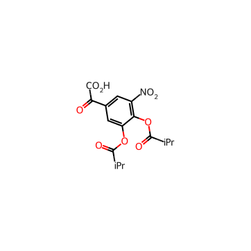 CC(C)C(=O)Oc1cc(C(=O)C(=O)O)cc([N+](=O)[O-])c1OC(=O)C(C)C